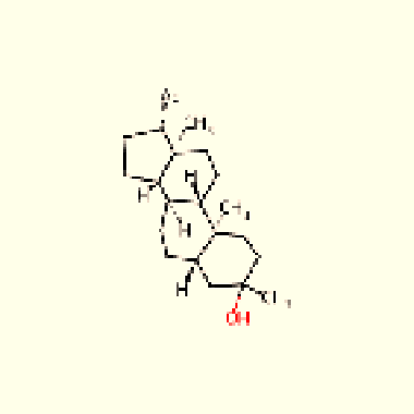 CC(=O)[C@H]1CC[C@H]2[C@@H]3CC[C@H]4CC(C)(O)CC[C@]4(C)[C@H]3CC[C@]12C